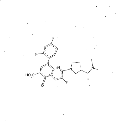 C[C@H]([C@H]1CCN(c2nc3c(cc2F)c(=O)c(C(=O)O)cn3-c2ccc(F)cc2F)C1)N(C)C